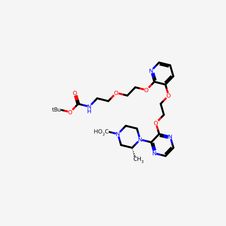 C[C@@H]1CN(C(=O)O)CCN1c1nccnc1OCCOc1cccnc1OCCOCCNC(=O)OC(C)(C)C